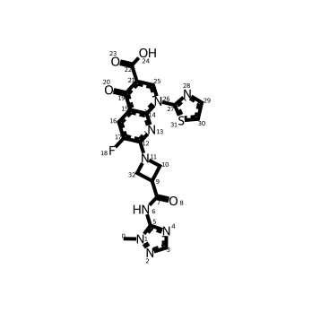 Cn1ncnc1NC(=O)C1CN(c2nc3c(cc2F)c(=O)c(C(=O)O)cn3-c2nccs2)C1